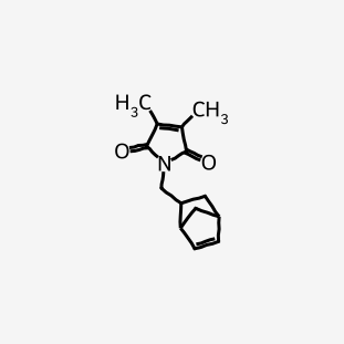 CC1=C(C)C(=O)N(CC2CC3C=CC2C3)C1=O